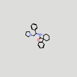 O=C(NC(CN1CCCC1)c1ccccc1)C1(c2ccccc2)CCCCC1